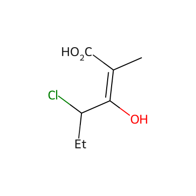 CCC(Cl)/C(O)=C(/C)C(=O)O